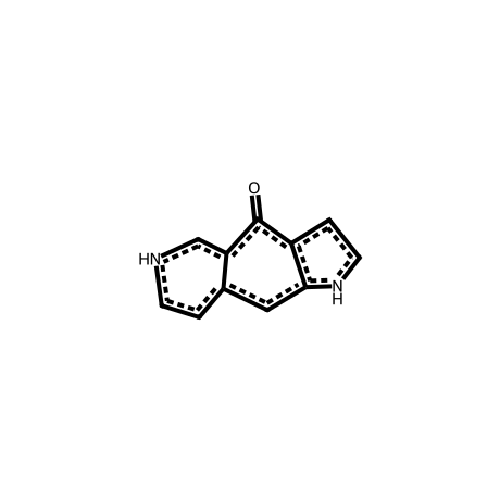 O=c1c2c[nH]ccc-2cc2[nH]ccc12